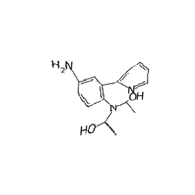 CC(O)N(c1ccc(N)cc1-c1ccccn1)C(C)O